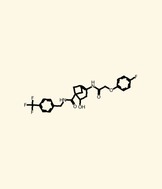 O=C(COc1ccc(F)cc1)NC1=C2CC(C(=O)NCc3ccc(C(F)(F)F)cc3)(C2)C(O)C1